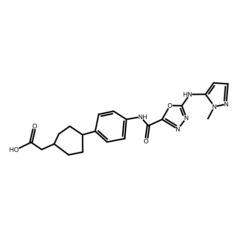 Cn1nccc1Nc1nnc(C(=O)Nc2ccc(C3CCC(CC(=O)O)CC3)cc2)o1